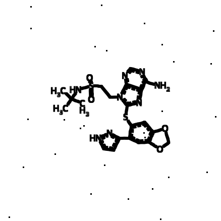 CC(C)(C)NS(=O)(=O)CCn1c(Sc2cc3c(cc2-c2cc[nH]n2)OCO3)nc2c(N)ncnc21